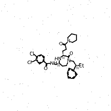 CC[C@H](CN1CC[C@@H](CNC(=O)c2ccc(Cl)c(Cl)c2)N[C@@H](CCC(=O)N2CCCCC2)C1=O)c1ccccc1